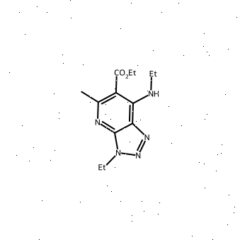 CCNc1c(C(=O)OCC)c(C)nc2c1nnn2CC